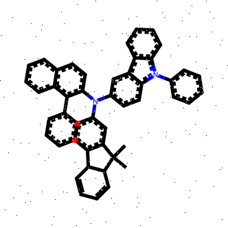 CC1(C)c2cc(N(c3ccc4c(c3)c3ccccc3n4-c3ccccc3)c3ccc4ccccc4c3-c3ccccc3)ccc2C2C=CC=CC21